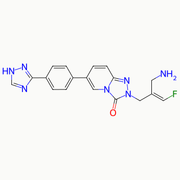 NC/C(=C\F)Cn1nc2ccc(-c3ccc(-c4nc[nH]n4)cc3)cn2c1=O